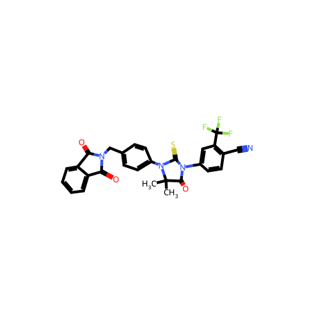 CC1(C)C(=O)N(c2ccc(C#N)c(C(F)(F)F)c2)C(=S)N1c1ccc(CN2C(=O)c3ccccc3C2=O)cc1